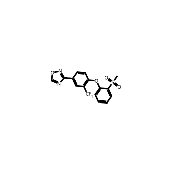 CS(=O)(=O)c1ccccc1Oc1ccc(-c2ncon2)cc1C(F)(F)F